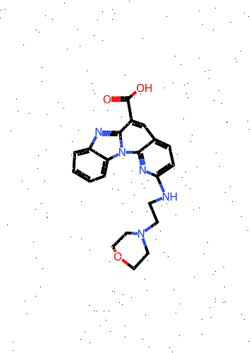 O=C(O)c1cc2ccc(NCCN3CCOCC3)nc2n2c1nc1ccccc12